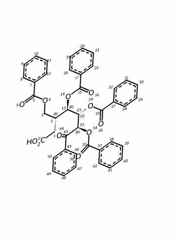 O=C(O)C[C@H](COC(=O)c1ccccc1)[C@@H](OC(=O)c1ccccc1)[C@H](OC(=O)c1ccccc1)[C@@H](OC(=O)c1ccccc1)C(=O)c1ccccc1